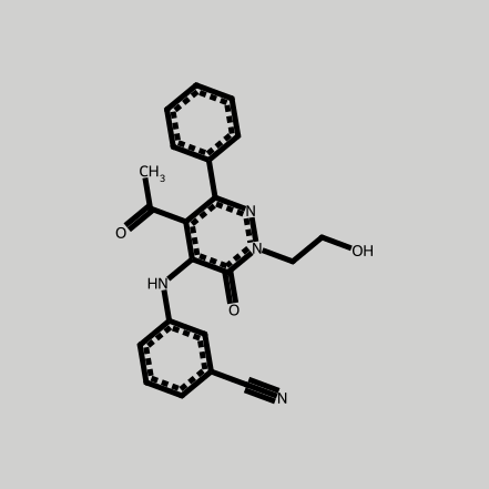 CC(=O)c1c(-c2ccccc2)nn(CCO)c(=O)c1Nc1cccc(C#N)c1